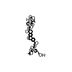 COC(=O)N[C@H](C(=O)N1[C@@H](C)CC[C@H]1C(=O)OC1CCc2cc3c(cc2C1=O)OCc1cc(C(=O)COC(=O)[C@@H]2C[C@H](CCO)CN2C(=O)OC(C)(C)C)ccc1-3)C(C)C